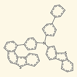 c1ccc(-c2ccc(N(c3ccc(-c4cccc5ccc6sc7ccccc7c6c45)cc3)c3ccc4c(c3)sc3ccccc34)cc2)cc1